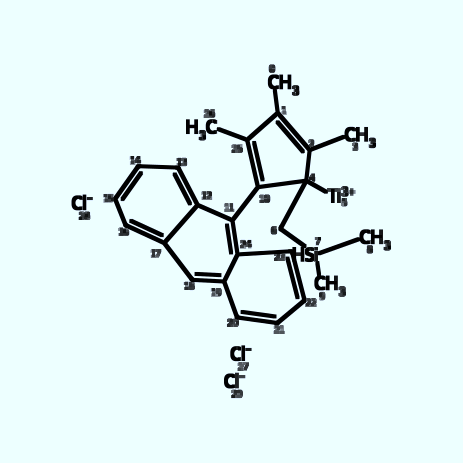 CC1=C(C)[C]([Ti+3])(C[SiH](C)C)C(c2c3ccccc3cc3ccccc23)=C1C.[Cl-].[Cl-].[Cl-]